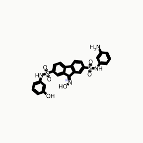 Nc1cccc(NS(=O)(=O)c2ccc3c(c2)/C(=N/O)c2cc(S(=O)(=O)Nc4cccc(O)c4)ccc2-3)c1